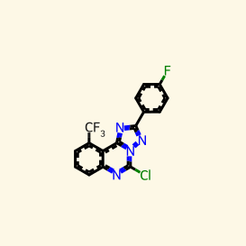 Fc1ccc(-c2nc3c4c(C(F)(F)F)cccc4nc(Cl)n3n2)cc1